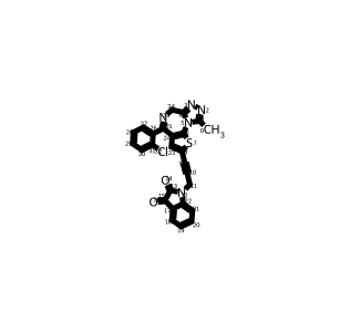 Cc1nnc2n1-c1sc(C#CCN3C(=O)C(=O)c4ccccc43)cc1C(c1ccccc1Cl)=NC2